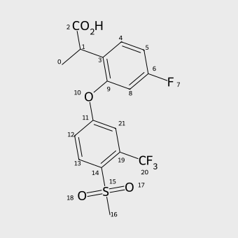 CC(C(=O)O)c1ccc(F)cc1Oc1ccc(S(C)(=O)=O)c(C(F)(F)F)c1